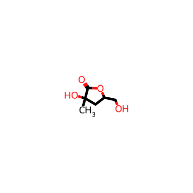 CC1(O)CC(CO)OC1=O